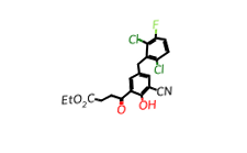 CCOC(=O)CCC(=O)c1cc(Cc2c(Cl)ccc(F)c2Cl)cc(C#N)c1O